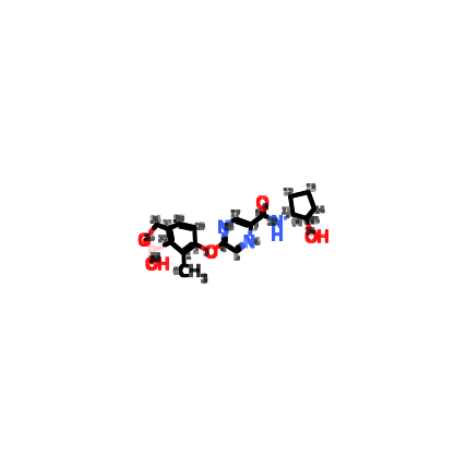 Cc1c(Oc2cnc(C(=O)N[C@@H]3CCC[C@H]3O)cn2)ccc2c1B(O)OC2